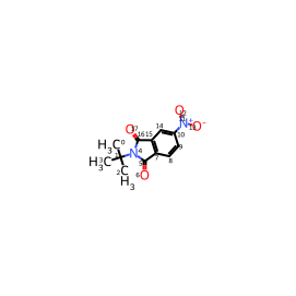 CC(C)(C)N1C(=O)c2ccc([N+](=O)[O-])cc2C1=O